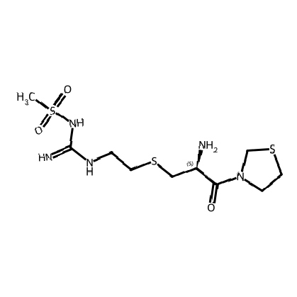 CS(=O)(=O)NC(=N)NCCSC[C@@H](N)C(=O)N1CCSC1